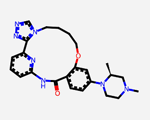 C[C@H]1CN(C)CCN1c1ccc2c(c1)OCCCCn1cnnc1-c1cccc(n1)NC2=O